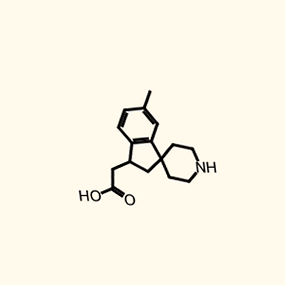 Cc1ccc2c(c1)C1(CCNCC1)CC2CC(=O)O